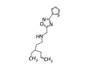 C=CCC(CC)CCNCc1nc(-c2cccs2)no1